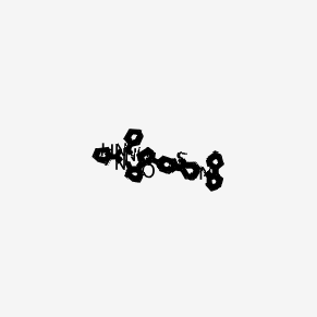 C1=CCC(C2=NC(c3cccc4oc5c(-c6ccc7c(c6)sc6cc(-n8c9ccccc9c9ccccc98)ccc67)cccc5c34)NC(c3ccccc3)N2)C=C1